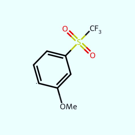 COc1[c]ccc(S(=O)(=O)C(F)(F)F)c1